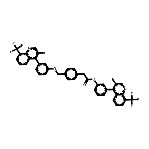 Cc1cnc2c(C(F)(F)F)cccc2c1-c1cccc(OCc2ccc(CC(=O)Oc3cccc(-c4c(C)cnc5c(C(F)(F)F)cccc45)c3)cc2)c1